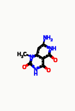 Cn1c(=O)[nH]c(=O)c2c(=O)[nH]c(N)cc21